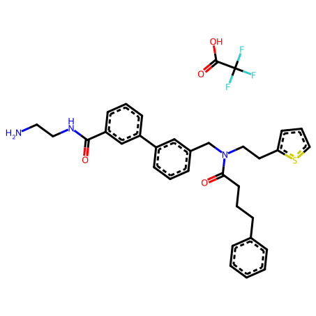 NCCNC(=O)c1cccc(-c2cccc(CN(CCc3cccs3)C(=O)CCCc3ccccc3)c2)c1.O=C(O)C(F)(F)F